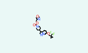 O=C(OCc1cocn1)N1CCC(c2cnn3cc(OCC4(C(F)F)CC4)ccc23)CC1